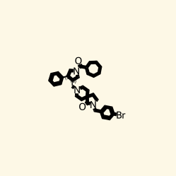 O=C(C1CCCCCC1)N1C[C@H](CN2CCC3(CC2)CCN(Cc2ccc(Br)cc2)C3=O)[C@@H](c2ccccc2)C1